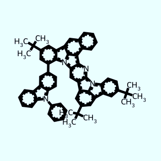 CC(C)(C)c1ccc2c(c1)c1cc(C(C)(C)C)cc3c4cc5c(nc4n2c13)c1c2ccccc2cc2c3cc(C(C)(C)C)cc(-c4ccc6c(c4)c4ccccc4n6-c4ccccc4)c3n5c21